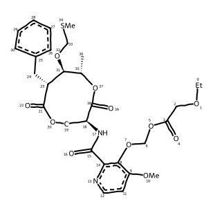 CCOCC(=O)OCOc1c(OC)ccnc1C(=O)N[C@H]1COC(=O)[C@H](Cc2ccccc2)[C@@H](OCSC)[C@H](C)OC1=O